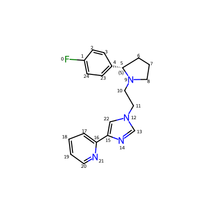 Fc1ccc([C@@H]2CCCN2CCn2cnc(-c3ccccn3)c2)cc1